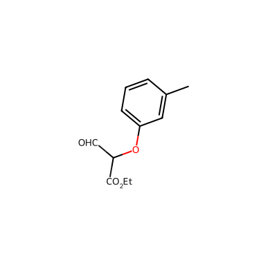 CCOC(=O)C(C=O)Oc1cccc(C)c1